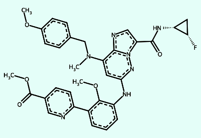 COC(=O)c1ccc(-c2cccc(Nc3cc(N(C)Cc4ccc(OC)cc4)c4ncc(C(=O)N[C@@H]5C[C@@H]5F)n4n3)c2OC)nc1